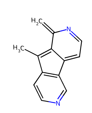 C=c1nccc2c1=C(C)c1ccncc1-2